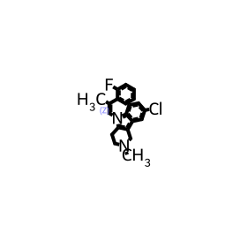 C/C(=C/n1c2c(c3cc(Cl)ccc31)CN(C)CC2)c1ccccc1F